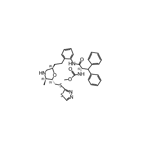 COC(=O)N[C@H](C(=O)Nc1ccccc1CC[C@@H]1CN[C@H](C)[C@@H](CSc2nncs2)O1)C(c1ccccc1)c1ccccc1